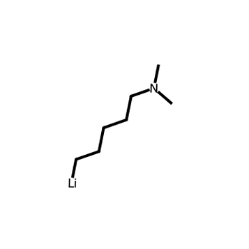 [Li][CH2]CCCCN(C)C